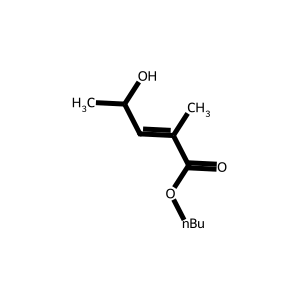 CCCCOC(=O)C(C)=CC(C)O